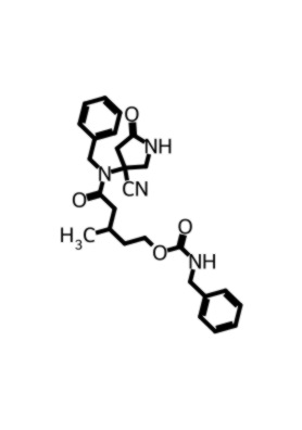 CC(CCOC(=O)NCc1ccccc1)CC(=O)N(Cc1ccccc1)C1(C#N)CNC(=O)C1